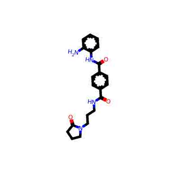 Nc1ccccc1NC(=O)c1ccc(C(=O)NCCCN2CCCC2=O)cc1